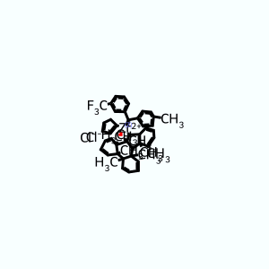 CC1=CC=CC2[CH](/[Zr+2]([C]3=CC=CC3)=[C](\c3ccc(C)cc3)c3cccc(C(F)(F)F)c3)C3(C)C4(C)C=CC=CC4(C)C4(C)C=CC=CC4(C)C3(C)C12C.[Cl-].[Cl-]